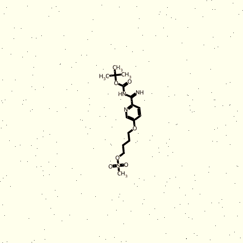 CC(C)(C)OC(=O)NC(=N)c1ccc(OCCCCOS(C)(=O)=O)cn1